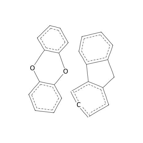 c1ccc2c(c1)Cc1ccccc1-2.c1ccc2c(c1)Oc1ccccc1O2